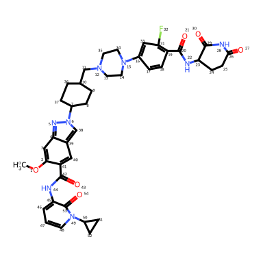 COc1cc2nn(C3CCC(CN4CCN(c5ccc(C(=O)NC6CCC(=O)NC6=O)c(F)c5)CC4)CC3)cc2cc1C(=O)Nc1cccn(C2CC2)c1=O